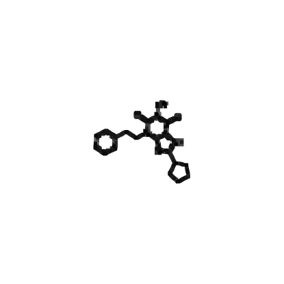 CCCn1c(=O)c2[nH]c(C3CCCC3)nc2n(CCc2ccccc2)c1=O